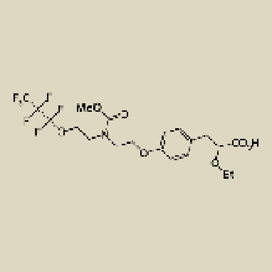 CCOC(Cc1ccc(OCCN(CCOC(F)(F)C(F)(F)C(F)(F)F)C(=O)OC)cc1)C(=O)O